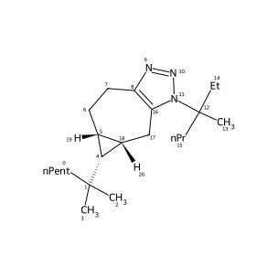 CCCCCC(C)(C)[C@@H]1[C@@H]2CCc3nnn(C(C)(CC)CCC)c3C[C@@H]21